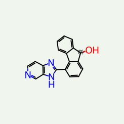 O[C@@H]1c2ccccc2-c2c(-c3nc4ccncc4[nH]3)cccc21